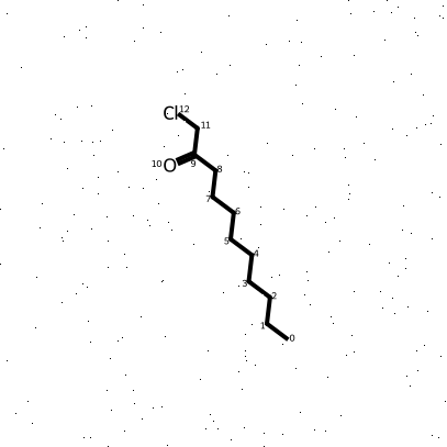 CCCCCCCCCC(=O)CCl